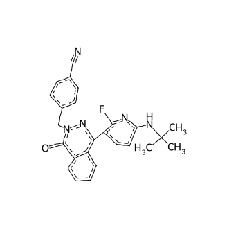 CC(C)(C)Nc1ccc(-c2nn(Cc3ccc(C#N)cc3)c(=O)c3ccccc23)c(F)n1